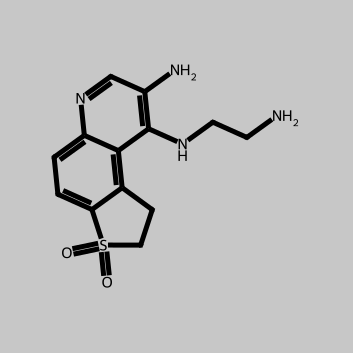 NCCNc1c(N)cnc2ccc3c(c12)CCS3(=O)=O